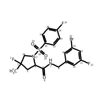 CC1(F)CC(C(=O)NCc2cc(F)cc(Br)c2)N(S(=O)(=O)c2ccc(F)cc2)C1